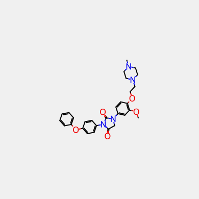 COc1cc(N2CC(=O)N(c3ccc(Oc4ccccc4)cc3)C2=O)ccc1OCCN1CCN(C)CC1